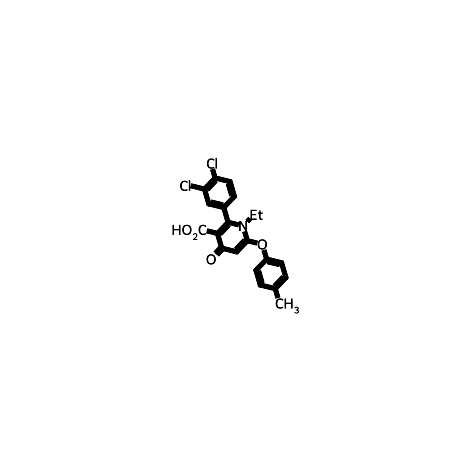 CCn1c(Oc2ccc(C)cc2)cc(=O)c(C(=O)O)c1-c1ccc(Cl)c(Cl)c1